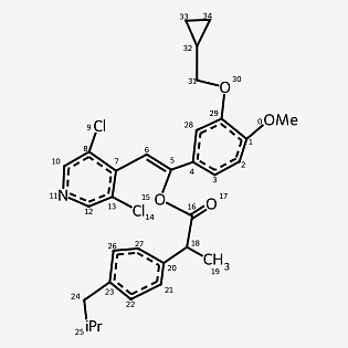 COc1ccc(C(=Cc2c(Cl)cncc2Cl)OC(=O)C(C)c2ccc(CC(C)C)cc2)cc1OCC1CC1